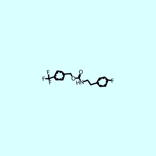 O=C(NCCc1ccc(F)cc1)OCc1ccc(C(F)(F)F)cc1